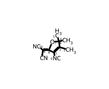 [C-]#[N+]C1=C(C)C(C)(C)OC1=C(C#N)C#N